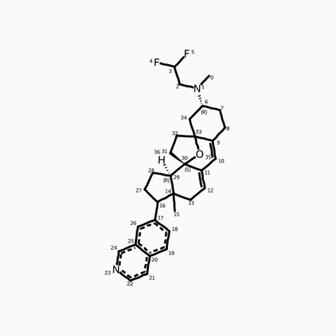 CN(CC(F)F)[C@@H]1CCC2=CC3=CCC4(C)C(c5ccc6ccncc6c5)CC[C@H]4[C@@]34CCC2(C1)O4